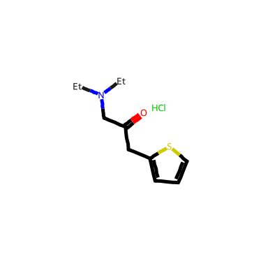 CCN(CC)CC(=O)Cc1cccs1.Cl